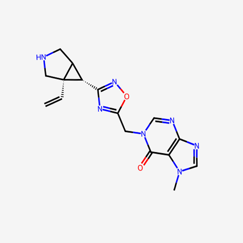 C=C[C@]12CNCC1[C@@H]2c1noc(Cn2cnc3ncn(C)c3c2=O)n1